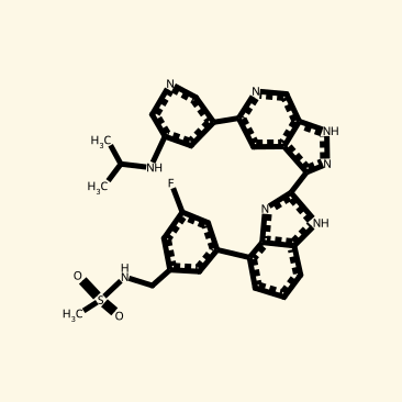 CC(C)Nc1cncc(-c2cc3c(-c4nc5c(-c6cc(F)cc(CNS(C)(=O)=O)c6)cccc5[nH]4)n[nH]c3cn2)c1